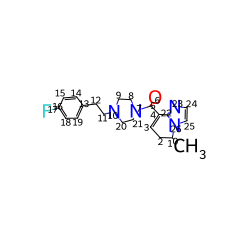 CC1CC=C(C(=O)N2CCN(CCc3ccc(F)cc3)CC2)c2nccn21